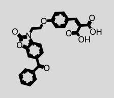 O=C(O)C(=Cc1ccc(OCCn2c(=O)oc3cc(C(=O)c4ccccc4)ccc32)cc1)C(=O)O